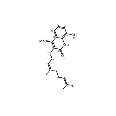 COc1c(OCC=C(C)CCC=C(C)C)c(=O)oc2c(O)cccc12